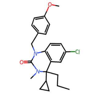 CCCC1(C2CC2)c2cc(Cl)ccc2N(Cc2ccc(OC)cc2)C(=O)N1C